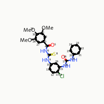 COc1cc(C(=O)NC(=S)Nc2ccc(Cl)c(NC(=O)Nc3ccccc3)c2)cc(OC)c1OC